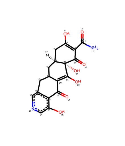 NC(=O)C1=C(O)C[C@@H]2CC3Cc4cncc(O)c4C(=O)C3=C(O)[C@]2(O)C1=O